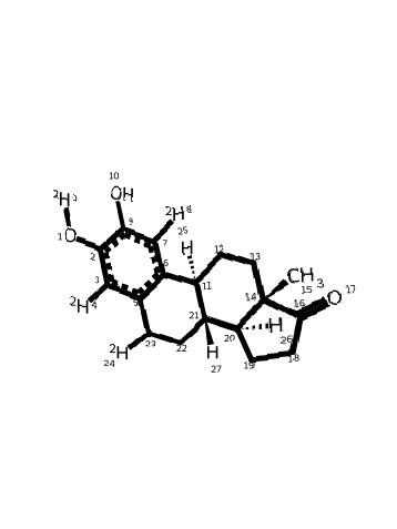 [2H]Oc1c([2H])c2c(c([2H])c1O)[C@H]1CC[C@]3(C)C(=O)CC[C@H]3[C@@H]1CC2[2H]